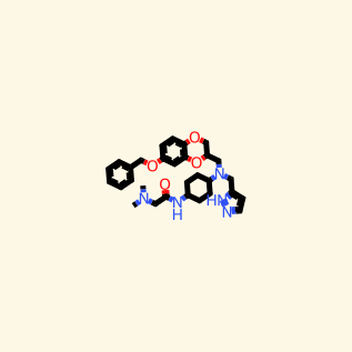 CN(C)CC(=O)NC1CCC(N(Cc2ccn[nH]2)CC2COc3ccc(OCc4ccccc4)cc3O2)CC1